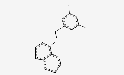 Fc1cc(Cl)cc(COc2cccc3cccnc23)c1